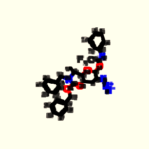 C[C@@H]([C@@H]1CC[C@@H](N=[N+]=[N-])C(O/C(=N/c2ccccc2)C(F)(F)F)O1)N(Cc1ccccc1)C(=O)OCc1ccccc1